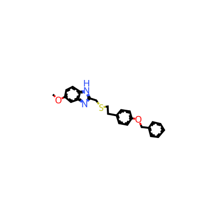 COc1ccc2[nH]c(CSCCc3ccc(OCc4ccccc4)cc3)nc2c1